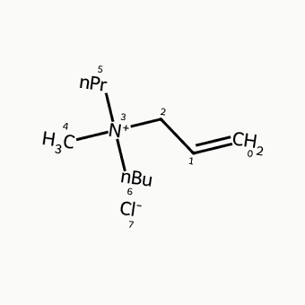 C=CC[N+](C)(CCC)CCCC.[Cl-]